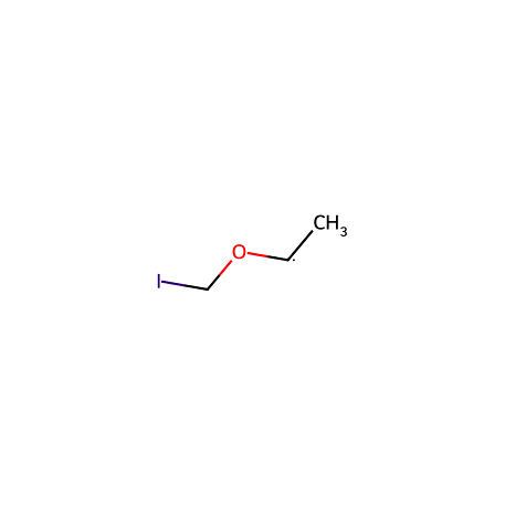 C[CH]OCI